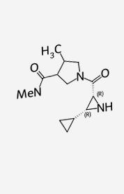 CNC(=O)C1CN(C(=O)[C@@H]2N[C@@H]2C2CC2)CC1C